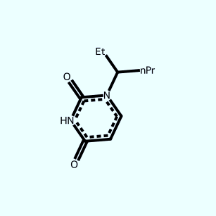 CCCC(CC)n1ccc(=O)[nH]c1=O